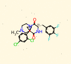 CN1CCN(C(=O)[C@H](Cc2cc(F)c(F)c(F)c2)NC(=O)C2(c3ccc(Cl)cc3Cl)CC2)CC1